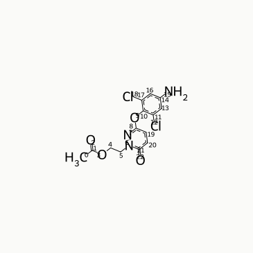 CC(=O)OCCn1nc(Oc2c(Cl)cc(N)cc2Cl)ccc1=O